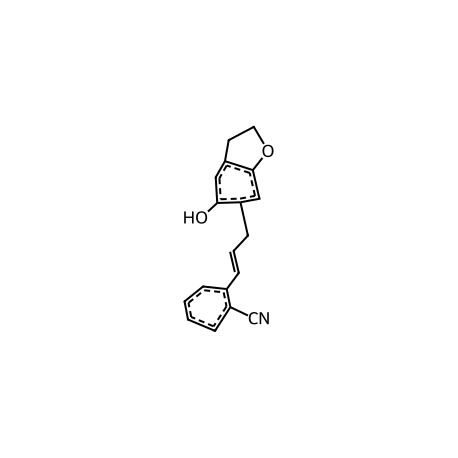 N#Cc1ccccc1C=CCc1cc2c(cc1O)CCO2